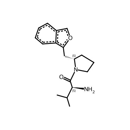 CC(C)[C@H](N)C(=O)N1CCC[C@H]1Cc1occ2ccccc12